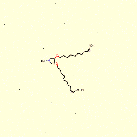 CCCCCCCC/C=C\CCCCCCCCOC1CN(C)C[C@H]1OCCCCCCCC/C=C\CCCCCCCC